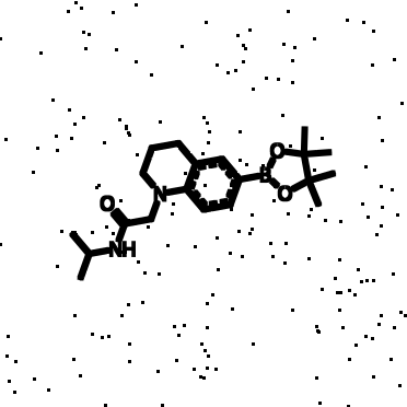 CC(C)NC(=O)CN1CCCc2cc(B3OC(C)(C)C(C)(C)O3)ccc21